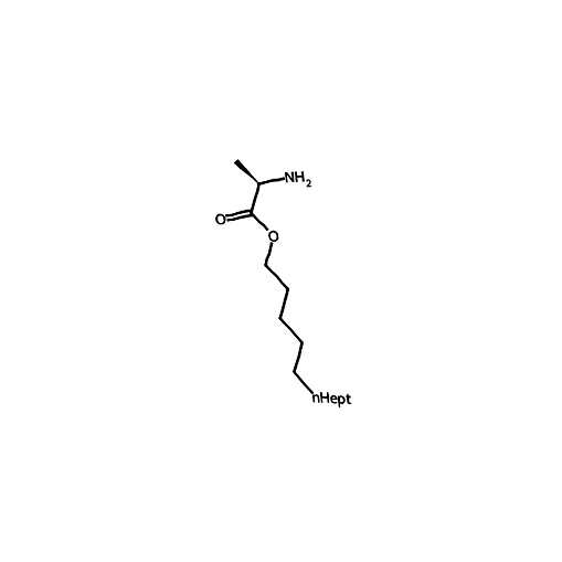 CCCCCCCCCCCCOC(=O)[C@@H](C)N